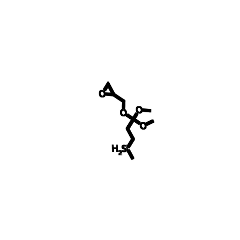 COC(CC[SiH2]C)(OC)OCC1CO1